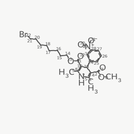 COC(=O)C1=C(C)NC(C)=C(C(=O)OCCCCCCCCBr)C1c1cccc([N+](=O)[O-])c1